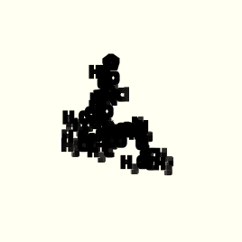 CCOP(=O)(OCC)C(COCC[Si](C)(C)C)(COCc1nnn(COCC[Si](C)(C)C)n1)OC[C@H]1O[C@@H](n2ncc3c(OC(=O)NC4CCCC4)nc(Cl)nc32)[C@@H]2OC(C)(C)O[C@@H]21